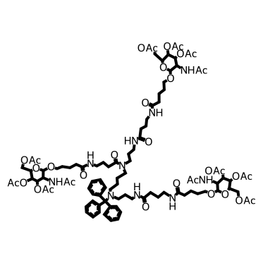 CC(=O)NC1C(OCCCCC(=O)NCCCC(=O)NCCCN(CCCCN(CCCNC(=O)CCCNC(=O)CCCCOC2OC(COC(C)=O)C(OC(C)=O)C(OC(C)=O)C2NC(C)=O)C(c2ccccc2)(c2ccccc2)c2ccccc2)C(=O)CCCNC(=O)CCCCOC2OC(COC(C)=O)C(OC(C)=O)C(OC(C)=O)C2NC(C)=O)OC(COC(C)=O)C(OC(C)=O)C1OC(C)=O